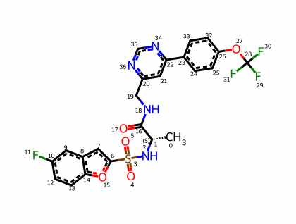 C[C@H](NS(=O)(=O)c1cc2cc(F)ccc2o1)C(=O)NCc1cc(-c2ccc(OC(F)(F)F)cc2)ncn1